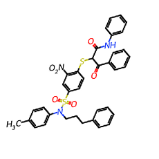 Cc1ccc(N(CCCc2ccccc2)S(=O)(=O)c2ccc(SC(C(=O)Nc3ccccc3)C(=O)c3ccccc3)c([N+](=O)[O-])c2)cc1